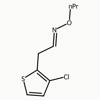 CCCON=CCc1sccc1Cl